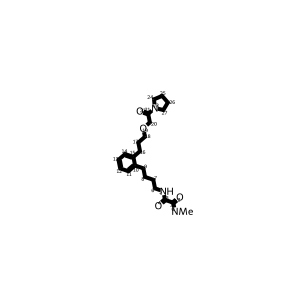 CNC(=O)C(=O)NCCCCc1ccccc1CCCOCC(=O)N1CCCC1